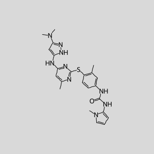 Cc1cc(Nc2cc(N(C)C)n[nH]2)nc(Sc2ccc(NC(=O)Nc3cccn3C)cc2C)n1